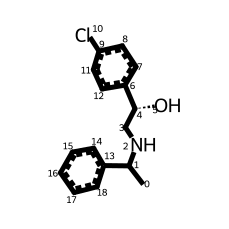 CC(NC[C@@H](O)c1ccc(Cl)cc1)c1ccccc1